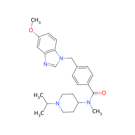 COc1ccc2c(c1)ncn2Cc1ccc(C(=O)N(C)C2CCN(C(C)C)CC2)cc1